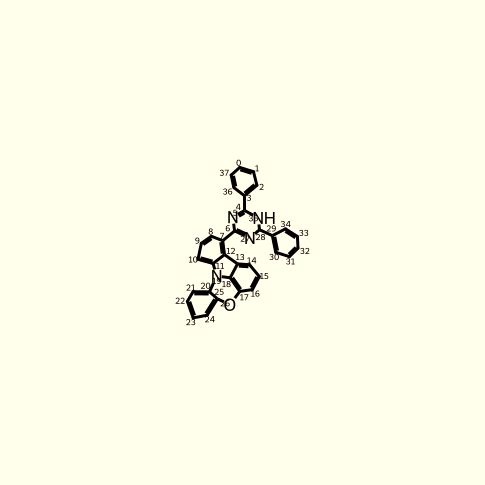 c1ccc(C2=NC(c3cccc4c3c3cccc5c3n4-c3ccccc3O5)=NC(c3ccccc3)N2)cc1